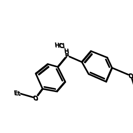 CCOc1ccc(Pc2ccc(OCC)cc2)cc1.Cl